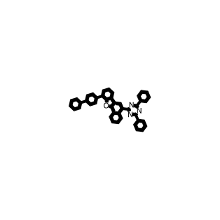 c1ccc(-c2ccc(-c3cccc4c3oc3c5ccccc5c(-c5nc(-c6ccccc6)nc(-c6ccccc6)n5)cc43)cc2)cc1